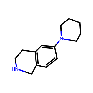 c1cc2c(cc1N1CCCCC1)CCNC2